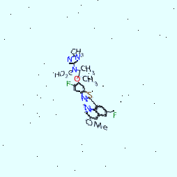 COc1cnc2c(-c3nc4cc(F)c(O[C@@H](C)[C@@H](C)N(C(=O)O)c5cnc(C)nc5)cc4s3)cc(CF)cc2c1